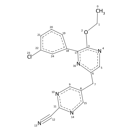 CCOc1ncc(Cc2cnc(C#N)nc2)nc1-c1cccc(Cl)c1